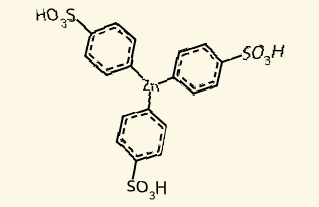 O=S(=O)(O)c1cc[c]([Zn]([c]2ccc(S(=O)(=O)O)cc2)[c]2ccc(S(=O)(=O)O)cc2)cc1